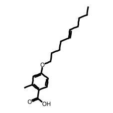 CCCCC=CCCCCOc1ccc(C(=O)O)c(C)c1